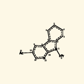 CCCn1c2ccccc2c2cc(C(C)=O)cnc21